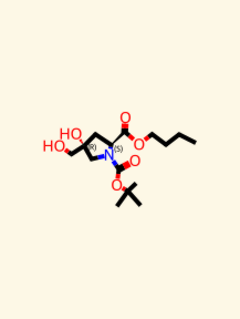 CCCCOC(=O)[C@@H]1C[C@](O)(CO)CN1C(=O)OC(C)(C)C